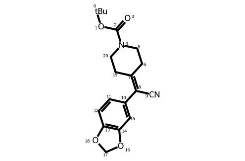 CC(C)(C)OC(=O)N1CCC(=C(C#N)c2ccc3c(c2)OCO3)CC1